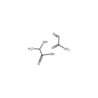 CC(=O)C=O.CC(O)C(=O)O